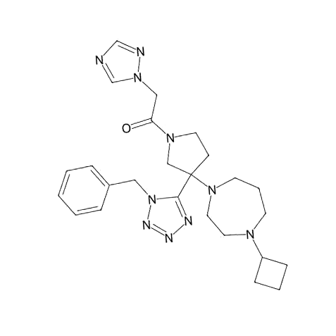 O=C(Cn1cncn1)N1CCC(c2nnnn2Cc2ccccc2)(N2CCCN(C3CCC3)CC2)C1